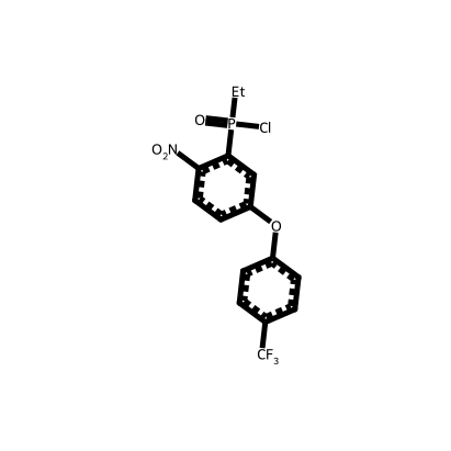 CCP(=O)(Cl)c1cc(Oc2ccc(C(F)(F)F)cc2)ccc1[N+](=O)[O-]